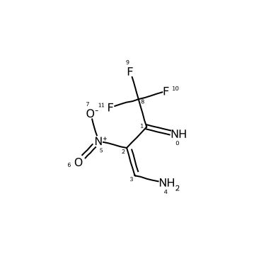 N=C(/C(=C\N)[N+](=O)[O-])C(F)(F)F